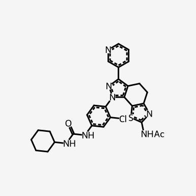 CC(=O)Nc1nc2c(s1)-c1c(c(-c3cccnc3)nn1-c1ccc(NC(=O)NC3CCCCC3)cc1Cl)CC2